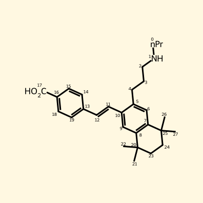 CCCNCCCc1cc2c(cc1C=Cc1ccc(C(=O)O)cc1)C(C)(C)CCC2(C)C